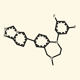 CN1CCN(c2cc(F)cc(F)c2)c2ccc(-c3ccc4nncn4c3)cc2C1